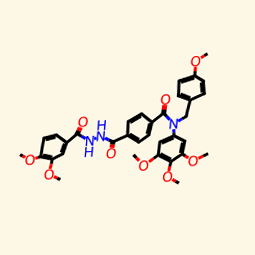 COc1ccc(CN(C(=O)c2ccc(C(=O)NNC(=O)c3ccc(OC)c(OC)c3)cc2)c2cc(OC)c(OC)c(OC)c2)cc1